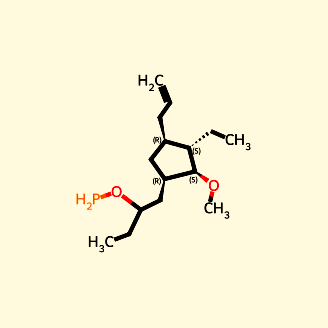 C=CC[C@@H]1C[C@H](CC(CC)OP)[C@H](OC)[C@H]1CC